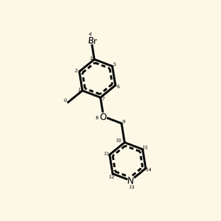 Cc1cc(Br)ccc1OCc1ccncc1